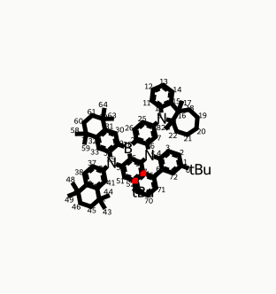 CC(C)(C)c1ccc(N2c3cc(N4c5ccccc5C5(C)CCCCCC45C)ccc3B3c4cc5c(cc4N(c4ccc6c(c4)C(C)(C)CCC6(C)C)c4cc(C(C)(C)C)cc2c43)C(C)(C)CCC5(C)C)c(-c2ccccc2)c1